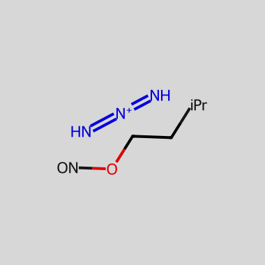 CC(C)CCON=O.N=[N+]=N